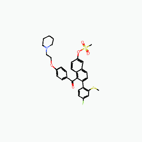 CSc1cc(F)ccc1-c1ccc2cc(OS(C)(=O)=O)ccc2c1C(=O)c1ccc(OCCN2CCCCC2)cc1